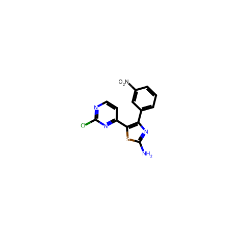 Nc1nc(-c2cccc([N+](=O)[O-])c2)c(-c2ccnc(Cl)n2)s1